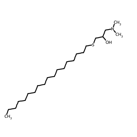 CCCCCCCCCCCCCCCCCCSCC(O)CN(C)C